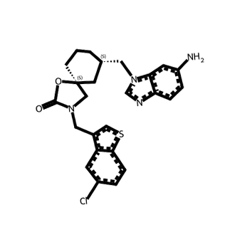 Nc1ccc2ncn(C[C@H]3CCC[C@]4(C3)CN(Cc3csc5ccc(Cl)cc35)C(=O)O4)c2c1